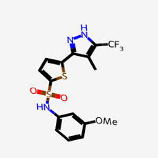 COc1cccc(NS(=O)(=O)c2ccc(-c3n[nH]c(C(F)(F)F)c3C)s2)c1